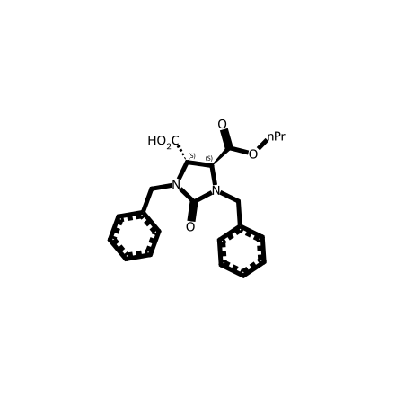 CCCOC(=O)[C@@H]1[C@@H](C(=O)O)N(Cc2ccccc2)C(=O)N1Cc1ccccc1